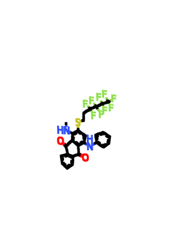 CNc1c(SCCC(F)(F)C(F)(F)C(F)(F)C(F)(F)F)cc(Nc2ccccc2)c2c1C(=O)c1ccccc1C2=O